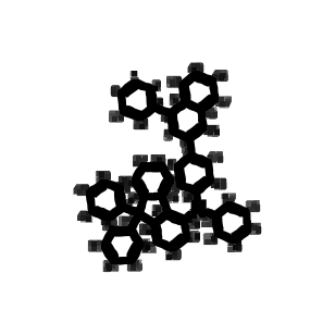 c1ccc(-c2cc(-c3ccc(N(c4ccccc4)c4cccc5c4-c4ccccc4C5(c4ccccc4)c4ccccc4)cc3)cc3ccccc23)cc1